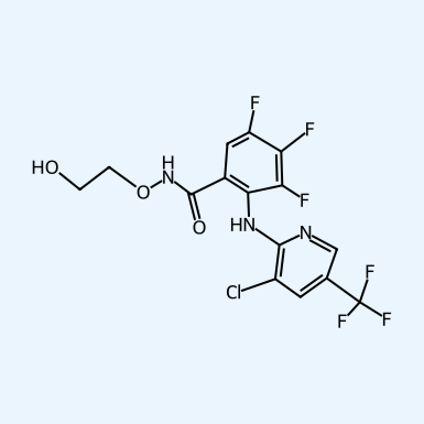 O=C(NOCCO)c1cc(F)c(F)c(F)c1Nc1ncc(C(F)(F)F)cc1Cl